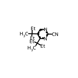 CCC(C)(CC)c1cnc(C#N)nc1C(C)(CC)CC